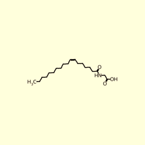 CCCCCCCCCC/C=C\CCCCCC(=O)NCC(=O)O